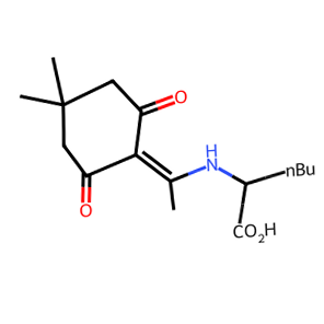 CCCCC(NC(C)=C1C(=O)CC(C)(C)CC1=O)C(=O)O